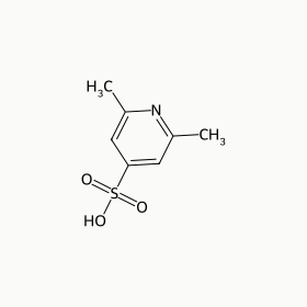 Cc1cc(S(=O)(=O)O)cc(C)n1